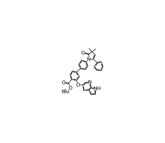 CC(C)(C)OC(=O)c1ccc(-c2ccc(N3C(=O)C(C)(C)C=C3c3ccccc3)cc2)cc1Oc1cnc2[nH]ccc2c1